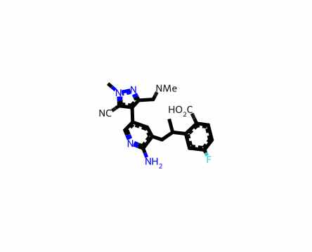 CNCc1nn(C)c(C#N)c1-c1cnc(N)c(CC(C)c2cc(F)ccc2C(=O)O)c1